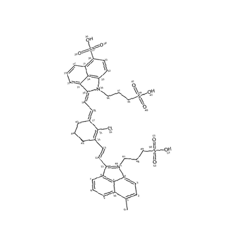 Cc1ccc2c3c(cccc13)C(/C=C/C1=C(Cl)C(=C/C=c3/c4cccc5c(S(=O)(=O)O)ccc(c54)n3CCCS(=O)(=O)O)/CCC1)=[N+]2CCCS(=O)(=O)O